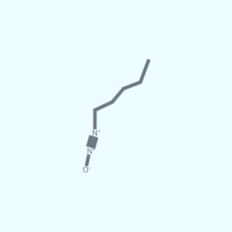 CCCCC[N+]#[N+][O-]